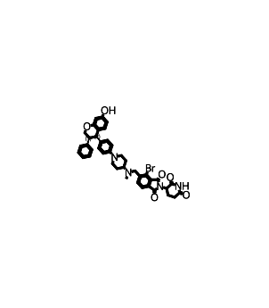 CN(Cc1ccc2c(c1Br)C(=O)N(C1CCC(=O)NC1=O)C2=O)C1CCN(c2ccc([C@@H]3c4ccc(O)cc4OC[C@@H]3c3ccccc3)cc2)CC1